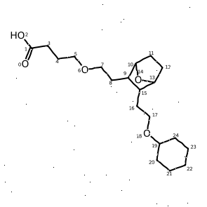 O=C(O)CCCOCCC1C2CCC(O2)C1CCOC1CCCCC1